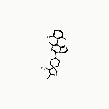 Cc1nc(N2CCC3(CC2)COC(C)C3N)n2ccnc2c1-c1c(F)cccc1Cl